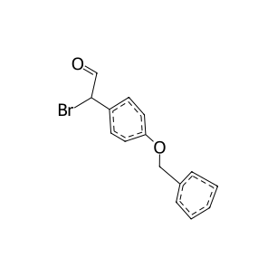 O=CC(Br)c1ccc(OCc2ccccc2)cc1